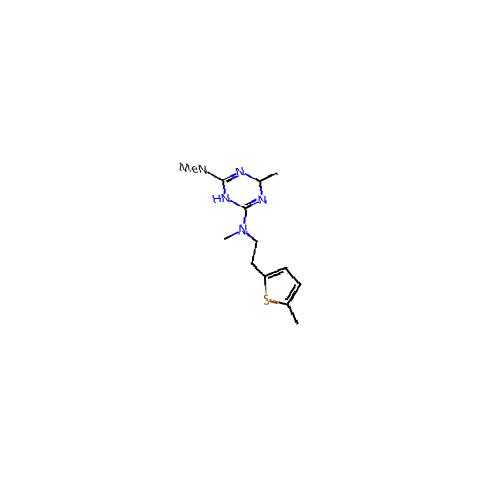 CNC1=NC(C)N=C(N(C)CCc2ccc(C)s2)N1